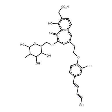 CC1C(O)OC(COc2cc(CCOc3ccc(/C=C/C=C/O)cc3O)cc3ccc(CC(=O)O)c(O)c3c2=O)C(O)C1O